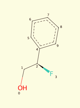 OC[C@H](F)c1ccccc1